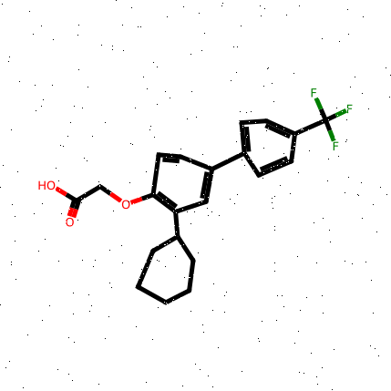 O=C(O)COc1ccc(-c2ccc(C(F)(F)F)cc2)cc1C1CCCCC1